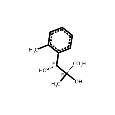 Cc1ccccc1[C@@H](O)[C@](C)(O)C(=O)O